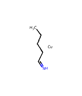 CCCCC=N.[Cu]